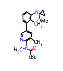 COC1(Nc2cccc(-c3cnc(N(C)C(=O)C(C)(C)C)c(C)c3)c2C)CC1